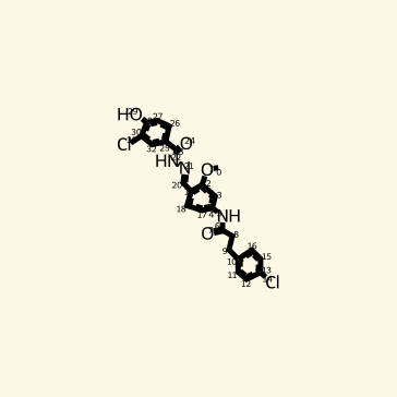 COc1cc(NC(=O)CCc2ccc(Cl)cc2)ccc1C=NNC(=O)c1ccc(O)c(Cl)c1